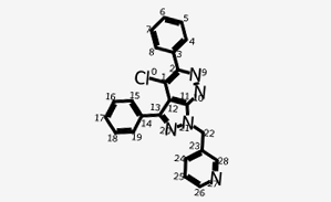 Clc1c(-c2ccccc2)nnc2c1c(-c1ccccc1)nn2Cc1cccnc1